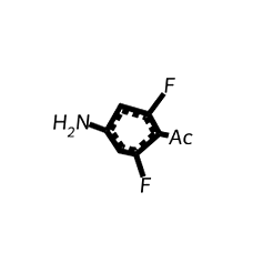 CC(=O)c1c(F)cc(N)cc1F